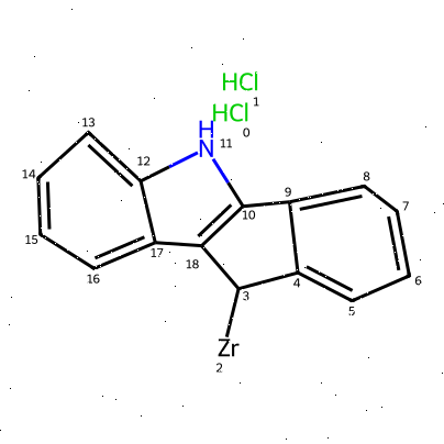 Cl.Cl.[Zr][CH]1c2ccccc2-c2[nH]c3ccccc3c21